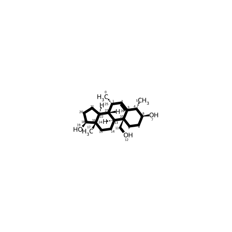 C[C@@H]1C=C2[C@H](C)[C@@H](O)CC[C@]2(CO)[C@H]2CC[C@]3(C)[C@@H](O)CC[C@H]3[C@H]12